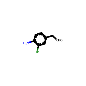 Nc1ccc(CC=O)cc1Br